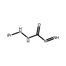 CC(C)NNC(=O)N=N